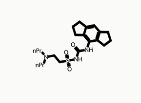 CCCN(CCC)CCS(=O)(=O)NC(=O)Nc1c2c(cc3c1CCC3)CCC2